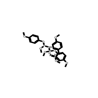 COc1ccc(OP(N[PH](/N=[PH](/OC)Oc2ccc(OC)cc2)(OC)Oc2ccc(OC)cc2)OC)cc1